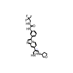 N=C/C(=C\NC1CCOC1)c1ccn2c(-c3cccc(NC(=O)NCC(F)(F)F)c3)cnc2c1